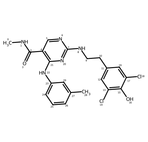 CNC(=O)c1cnc(NCCc2cc(Cl)c(O)c(Cl)c2)nc1Nc1cccc(C)c1